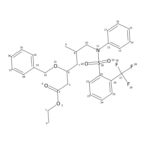 CCOC(=O)CC(CC(C)CN(c1ccccc1)S(=O)(=O)c1ccccc1C(F)(F)F)OCc1ccccc1